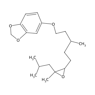 CC(C)CC1(C)OC1CCC(C)CCOc1ccc2c(c1)OCO2